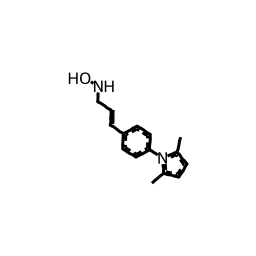 Cc1ccc(C)n1-c1ccc(/C=C/CNO)cc1